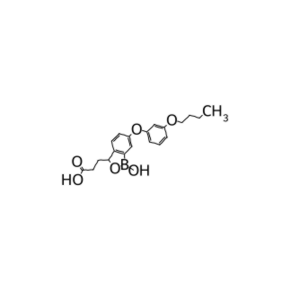 CCCCOc1cccc(Oc2ccc3c(c2)B(O)OC3CCC(=O)O)c1